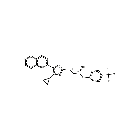 N[C@H](CNc1nc(C2CC2)c(-c2ccc3cnccc3c2)s1)Cc1ccc(C(F)(F)F)cc1